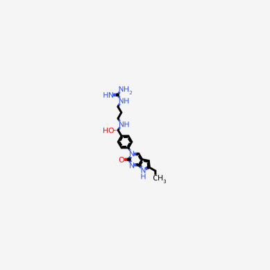 CCc1cc2cn(-c3ccc([C@H](O)NCCCNC(=N)N)cc3)c(=O)nc2[nH]1